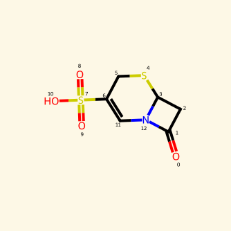 O=C1CC2SCC(S(=O)(=O)O)=CN12